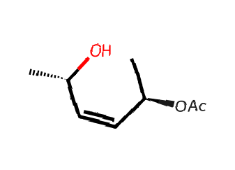 CC(=O)O[C@H](C)/C=C\[C@H](C)O